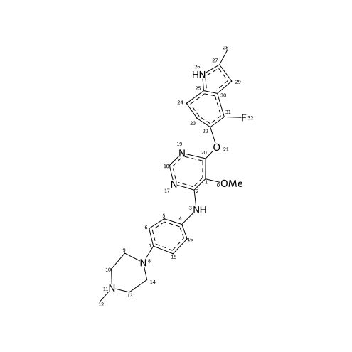 COc1c(Nc2ccc(N3CCN(C)CC3)cc2)ncnc1Oc1ccc2[nH]c(C)cc2c1F